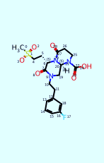 CS(=O)(=O)CC[C@H]1C(=O)N(CCc2cccc(F)c2)C[C@@H]2N(C(=O)O)CCC(=O)N21